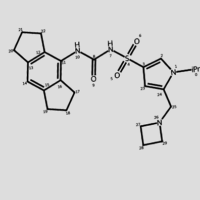 CC(C)n1cc(S(=O)(=O)NC(=O)Nc2c3c(cc4c2CCC4)CCC3)cc1CN1CCC1